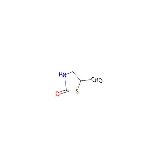 O=CC1CNC(=O)S1